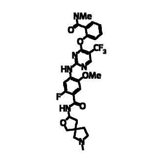 CNC(=O)c1ccccc1Oc1nc(Nc2cc(F)c(C(=O)NC3CC4(CCN(C)C4)CO3)cc2OC)ncc1C(F)(F)F